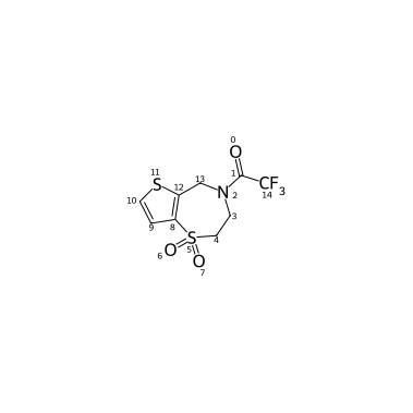 O=C(N1CCS(=O)(=O)c2ccsc2C1)C(F)(F)F